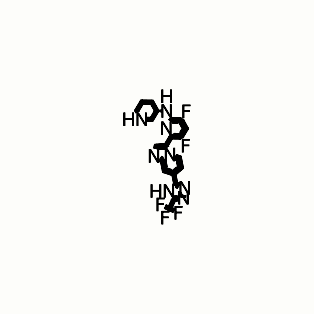 Fc1cc(F)c(-c2cnc3cc(-c4nnc(C(F)(F)F)[nH]4)ccn23)nc1N[C@@H]1CCCNC1